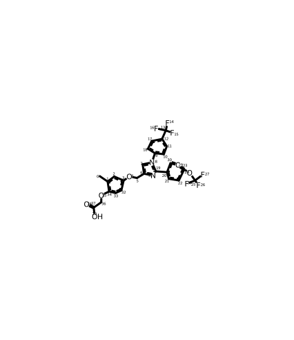 Cc1cc(OCc2cn(-c3ccc(C(F)(F)F)cc3)c(-c3ccc(OC(F)(F)F)cc3)n2)ccc1OCC(=O)O